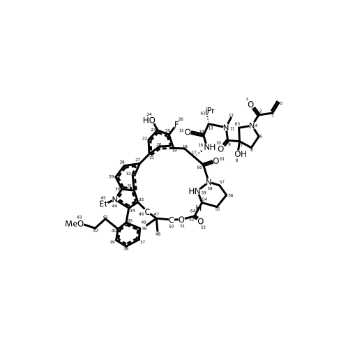 C=CC(=O)N1CCC(O)(C(=O)N(C)[C@H](C(=O)N[C@H]2Cc3cc(cc(O)c3F)-c3ccc4c(c3)c(c(-c3ccccc3CCOC)n4CC)CC(C)(C)COC(=O)[C@@H]3CCCN(N3)C2=O)C(C)C)C1